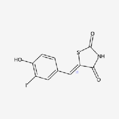 O=C1NC(=O)/C(=C/c2ccc(O)c(I)c2)S1